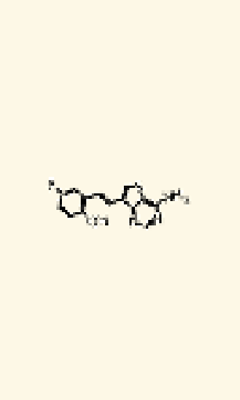 Nc1ncnc2c(C=Cc3cc(F)ccc3O)csc12